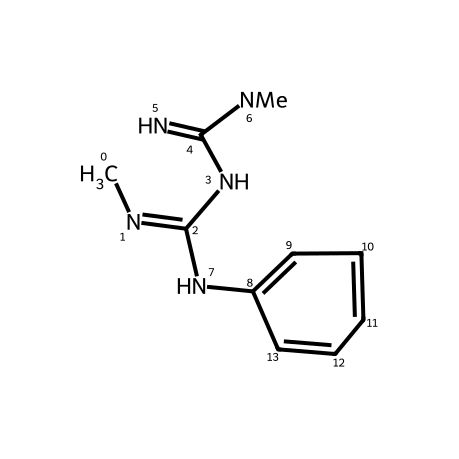 CN=C(NC(=N)NC)Nc1ccccc1